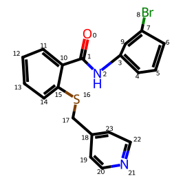 O=C(Nc1cccc(Br)c1)c1ccccc1SCc1ccncc1